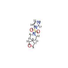 O=S(=O)(N1CCC2(CCOC2)CC1)n1ccnc1